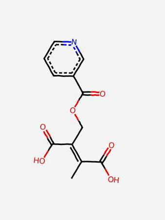 C/C(C(=O)O)=C(/COC(=O)c1cccnc1)C(=O)O